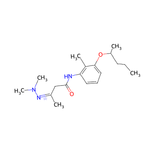 CCCC(C)Oc1cccc(NC(=O)C/C(C)=N\N(C)C)c1C